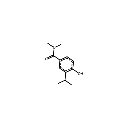 CC(C)c1cc(C(=O)N(C)C)ccc1O